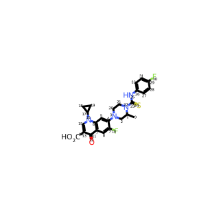 CC1CN(c2cc3c(cc2F)c(=O)c(C(=O)O)cn3C2CC2)CCN1C(=S)Nc1ccc(F)cc1